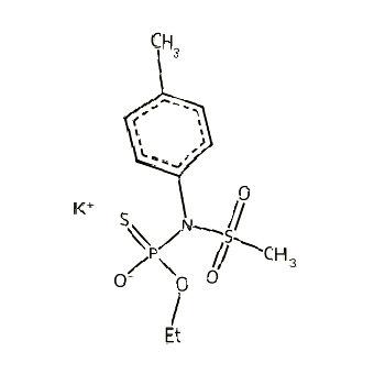 CCOP([O-])(=S)N(c1ccc(C)cc1)S(C)(=O)=O.[K+]